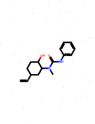 C=CC1CCC(O)C(N(C)C(=S)Nc2ccccc2)C1